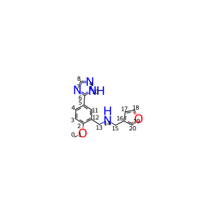 COc1ccc(-c2ncn[nH]2)cc1CNCc1ccoc1